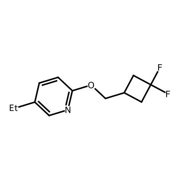 CCc1ccc(OCC2CC(F)(F)C2)nc1